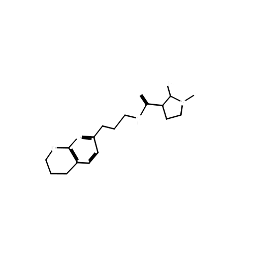 CC(C)(C)C1C(C(=O)NCCCc2ccc3c(n2)NCCC3)CCN1C(=O)O